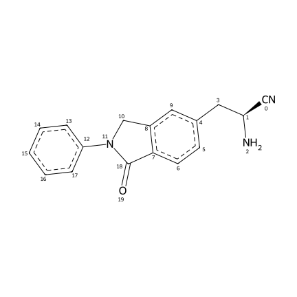 N#C[C@@H](N)Cc1ccc2c(c1)CN(c1ccccc1)C2=O